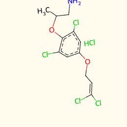 CC(CN)Oc1c(Cl)cc(OCC=C(Cl)Cl)cc1Cl.Cl